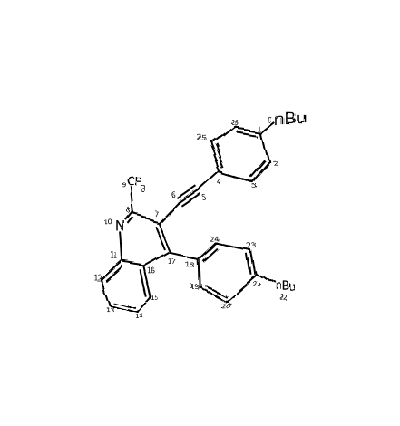 CCCCc1ccc(C#Cc2c(C(F)(F)F)nc3ccccc3c2-c2ccc(CCCC)cc2)cc1